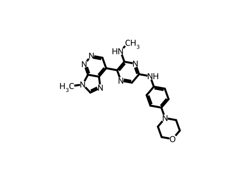 CNc1nc(Nc2ccc(N3CCOCC3)cc2)cnc1-c1cnnc2c1ncn2C